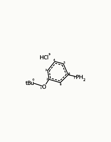 CC(C)(C)Oc1cccc(P)c1.Cl